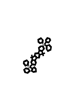 CC1(C)c2cc([Si](c3ccccc3)(c3ccccc3)c3ccccc3)ccc2-c2cc3c(cc21)-c1ccc([Si](c2ccccc2)(c2ccccc2)c2ccccc2)cc1C3(C)C